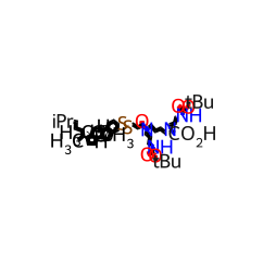 CC(C)CCCC(C)[C@H]1CC[C@H]2[C@@H]3CC=C4C[C@@H](SSCCC(=O)N(CCCCN(CCCNC(=O)OC(C)(C)C)C(=O)O)CCCNC(=O)OC(C)(C)C)CC[C@]4(C)[C@H]3CC[C@]12C